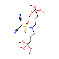 CO[Si](CCCN(CCC[Si](OC)(OC)OC)S(=O)(=O)C(C#N)C#N)(OC)OC